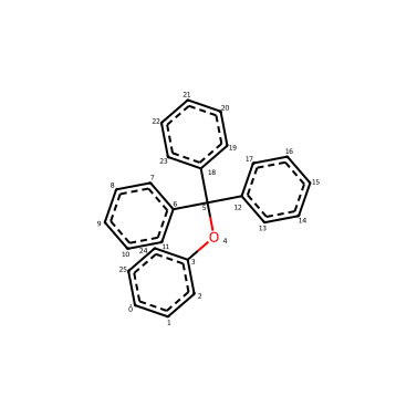 [c]1ccc(OC(c2ccccc2)(c2ccccc2)c2ccccc2)cc1